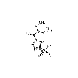 CCN(CC)C(=O)n1cnc(S(=O)(=O)F)n1